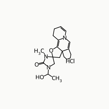 CC(O)N1CC2(CC34CCCCC3=CN3C=CCCC3=C4O2)N(C)C1=O.Cl